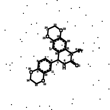 CC(C)N1C(=O)NC(c2ccc3c(c2)OCCO3)c2cc3c(cc21)OCCO3